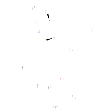 [2H]c1c([2H])c(OC([2H])([2H])[2H])c2c3c1C[C@@]1([2H])N(C)CC[C@@]34C(O2)C(=O)CC[C@]41[2H]